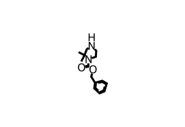 CC1(C)CNCCN1C(=O)OCc1ccccc1